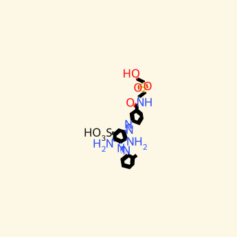 Cc1ccccc1/N=N/c1c(N)c(/N=N/c2cccc(C(=O)NCCS(=O)(=O)CCO)c2)cc(S(=O)(=O)O)c1N